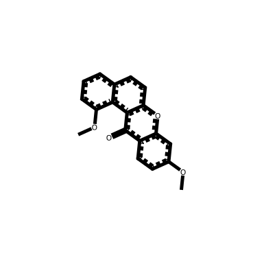 COc1ccc2c(=O)c3c(ccc4cccc(OC)c43)oc2c1